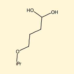 CC(C)OCCCC(O)O